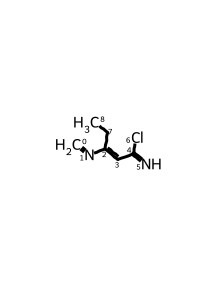 C=N/C(=C/C(=N)Cl)CC